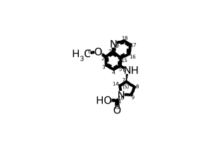 COc1ccc(N[C@H]2CCN(C(=O)O)C2)c2cccnc12